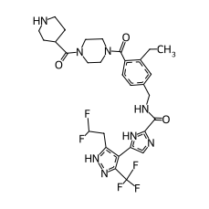 CCc1cc(CNC(=O)c2ncc(-c3c(C(F)(F)F)n[nH]c3CC(F)F)[nH]2)ccc1C(=O)N1CCN(C(=O)C2CCNCC2)CC1